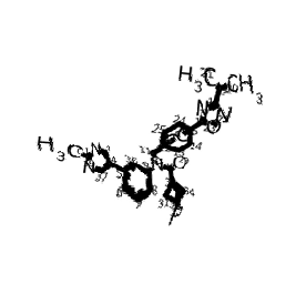 Cc1ncc(-c2cccc(N(CC34CCC(c5nc(C(C)C)no5)(CC3)CC4)C(=O)C34CC(F)(C3)C4)c2)cn1